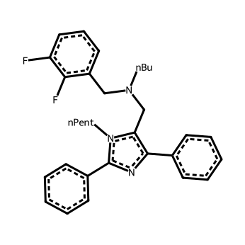 CCCCCn1c(-c2ccccc2)nc(-c2ccccc2)c1CN(CCCC)Cc1cccc(F)c1F